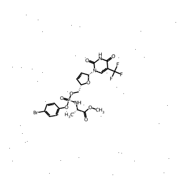 COC(=O)[C@H](C)N[P@@](=O)(OC[C@@H]1C=C[C@H](n2cc(C(F)(F)F)c(=O)[nH]c2=O)O1)Oc1ccc(Br)cc1